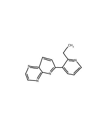 CCc1ncccc1-c1ccc2nccnc2n1